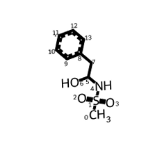 CS(=O)(=O)NC(O)Cc1cc[c]cc1